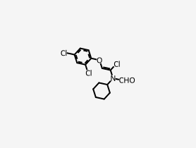 O=CN(C(Cl)=COc1ccc(Cl)cc1Cl)C1CCCCC1